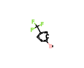 [B]c1ccc(C(F)(F)F)cc1